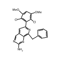 COc1cc(OC)c(Cl)c(-c2cc3cnc(N)nc3c(Cc3ccccc3)n2)c1Cl